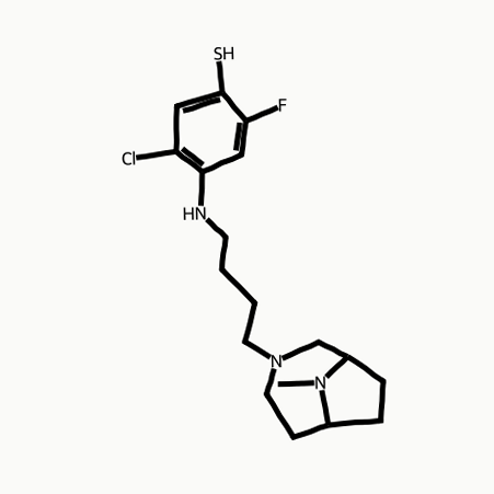 CN1C2CCC1CN(CCCCNc1cc(F)c(S)cc1Cl)CC2